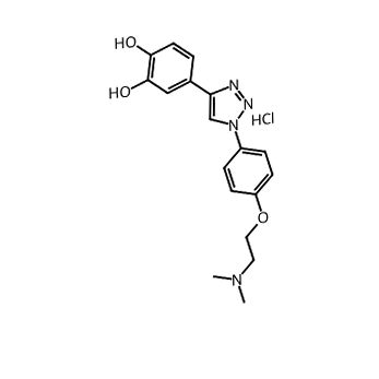 CN(C)CCOc1ccc(-n2cc(-c3ccc(O)c(O)c3)nn2)cc1.Cl